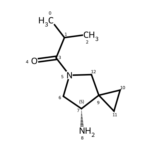 CC(C)C(=O)N1C[C@@H](N)C2(CC2)C1